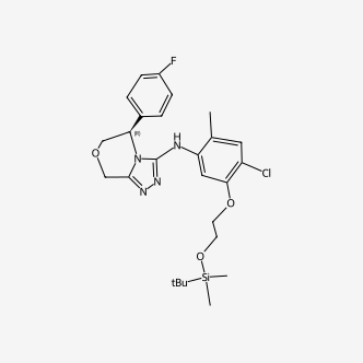 Cc1cc(Cl)c(OCCO[Si](C)(C)C(C)(C)C)cc1Nc1nnc2n1[C@H](c1ccc(F)cc1)COC2